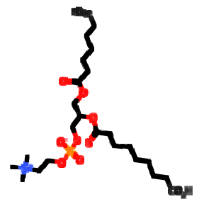 CCCCCCCCCCCCCCCC(=O)OC[C@H](COP(=O)([O-])OCC[N+](C)(C)C)OC(=O)CCCCCCCC(=O)O